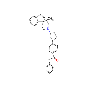 C[C@H]1CN(C2CCC(c3ccc(C(=O)Cc4ccccc4)cc3)C2)CCC12C=Cc1ccccc12